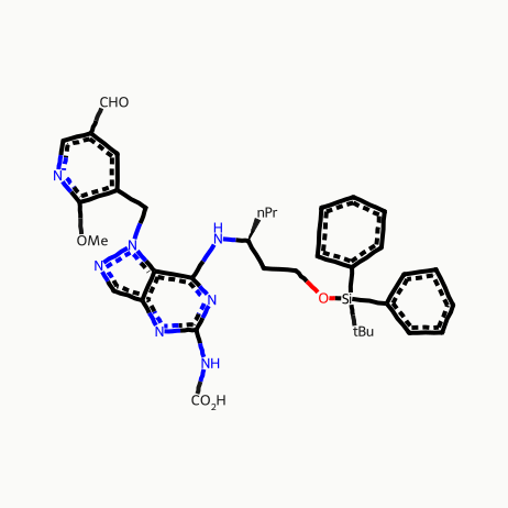 CCC[C@@H](CCO[Si](c1ccccc1)(c1ccccc1)C(C)(C)C)Nc1nc(NC(=O)O)nc2cnn(Cc3cc(C=O)cnc3OC)c12